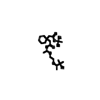 CCC(C)(CC)OC(=O)CC1(CC(=O)OC(C)OCCOC(C)C(C)(C)CC)CCCCC1